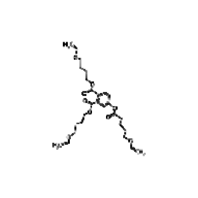 C=COCCCCOC(=O)c1ccc(OC(=O)CCCCOC=C)cc1C(=O)OCCCCOC=C